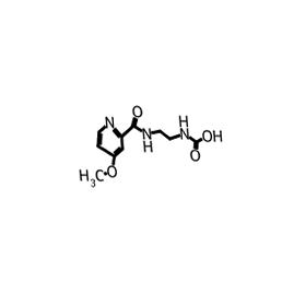 COc1ccnc(C(=O)NCCNC(=O)O)c1